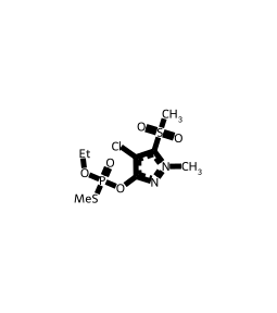 CCOP(=O)(Oc1nn(C)c(S(C)(=O)=O)c1Cl)SC